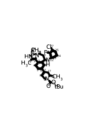 CC1=C2c3ccc(C4=CCN(C(=O)OC(C)(C)C)C(C)C4)cc3C(Nc3cccc(Cl)c3F)CCN2N(C)N1